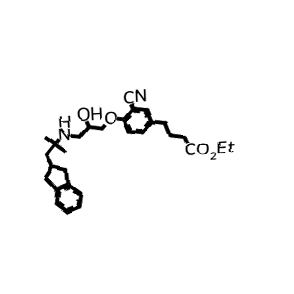 CCOC(=O)CCCc1ccc(OCC(O)CNC(C)(C)CC2Cc3ccccc3C2)c(C#N)c1